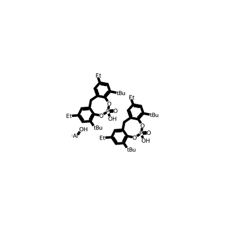 CCc1cc2c(c(C(C)(C)C)c1)OP(=O)(O)Oc1c(cc(CC)cc1C(C)(C)C)C2.CCc1cc2c(c(C(C)(C)C)c1)OP(=O)(O)Oc1c(cc(CC)cc1C(C)(C)C)C2.[OH][Al]